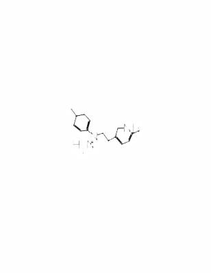 CC1=CC=C(CCN(N)C2=CCC(C)C=C2)CN1